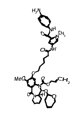 C=CCOC(=O)N1c2cc(OCCCCCC(=O)Nc3cc(C(=O)Nc4ccc(N)cc4)n(C)c3)c(OC)cc2C(=O)N2CCCC[C@H]2[C@@H]1OC1CCCCO1